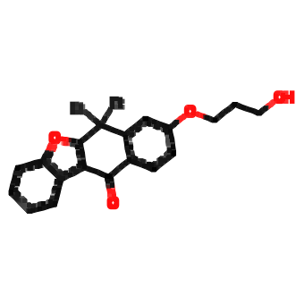 CCC1(CC)c2cc(OCCCO)ccc2C(=O)c2c1oc1ccccc21